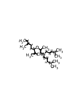 C=CC(=C)CCC(OC(C)CN(CCCN(C)C)CCCN(C)C)C(=C)C